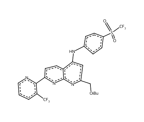 CC(C)COCc1cc(Nc2ccc(S(=O)(=O)C(F)(F)F)cc2)c2ccc(-c3ncccc3C(F)(F)F)nc2n1